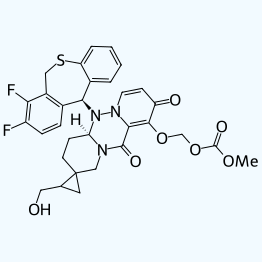 COC(=O)OCOc1c2n(ccc1=O)N([C@@H]1c3ccccc3SCc3c1ccc(F)c3F)[C@@H]1CCC3(CC3CO)CN1C2=O